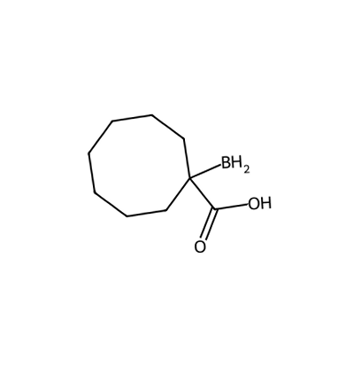 BC1(C(=O)O)CCCCCCC1